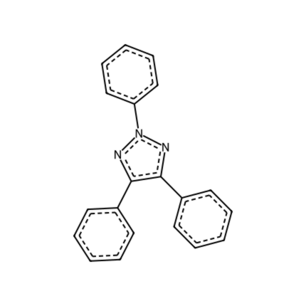 c1ccc(-c2nn(-c3ccccc3)nc2-c2ccccc2)cc1